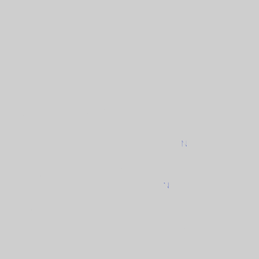 C1=Cc2cc(C3=c4ccccc4=C(C4C=Cc5ccccc5C4)C4=CC(c5ccc6c(c5)c5nc(-c7ccccc7)ccc5n6-c5ccccc5)=CCC43)ccc2CC1